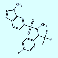 CN(C(c1ccc(F)cc1)C(F)(F)F)S(=O)(=O)c1ccc2cnn(C)c2c1